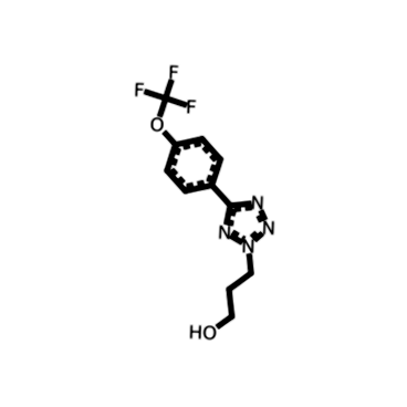 OCCCn1nnc(-c2ccc(OC(F)(F)F)cc2)n1